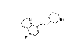 Fc1ccc(OC[C@H]2CNCCO2)c2ncccc12